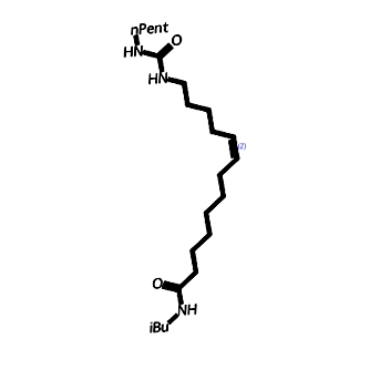 CCCCCNC(=O)NCCCC/C=C\CCCCCCC(=O)NC(C)CC